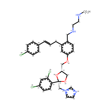 O=C(O)NCCNCc1ccc(OC[C@@H]2CO[C@@](Cn3ccnc3)(c3ccc(Cl)cc3Cl)O2)cc1C/C=C/c1ccc(Cl)cc1